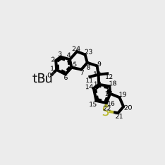 CC(C)(C)c1ccc2c(c1)CC(CC(C)(C)c1ccc3c(c1)CCCS3)CC2